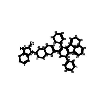 CCC1NC2=C(C=CCC2)N1C1CCC2CC(C3=C(C4C=CCCC4)C4=C(c5cccc6c5C4=CCC6)C(c4ccccc4)C3)=CCC2C1